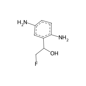 Nc1ccc(N)c(C(O)CF)c1